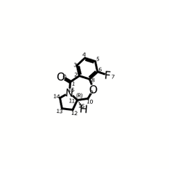 O=C1c2cccc(F)c2OC[C@H]2CCCN12